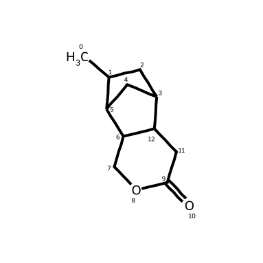 CC1CC2CC1C1COC(=O)CC21